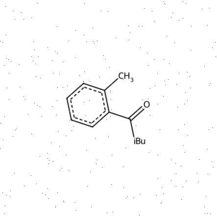 CCC(C)C(=O)c1ccc[c]c1C